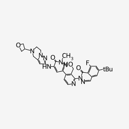 Cn1nc(-c2ccnc(-n3ncc4cc(C(C)(C)C)cc(F)c4c3=O)c2CO)cc(Nc2cc3n(n2)CCN(C2COC2)C3)c1=O